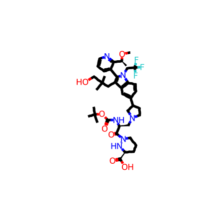 CO[C@@H](C)c1ncccc1-c1c(CC(C)(C)CO)c2cc(C3CCN(C[C@H](NC(=O)OC(C)(C)C)C(=O)N4CCC[C@@H](C(=O)O)N4)C3)ccc2n1CC(F)(F)F